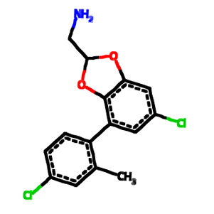 Cc1cc(Cl)ccc1-c1cc(Cl)cc2c1OC(CN)O2